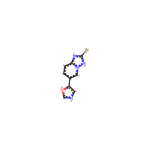 Brc1nc2ccc(-c3cnco3)cn2n1